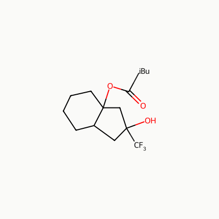 CCC(C)C(=O)OC12CCCCC1CC(O)(C(F)(F)F)C2